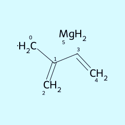 [CH2]C(=C)C=C.[MgH2]